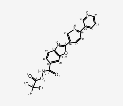 O=C(NOC(=O)C(F)(F)F)c1ccc2nc(-c3ccc(-c4cccnc4)nc3)oc2c1